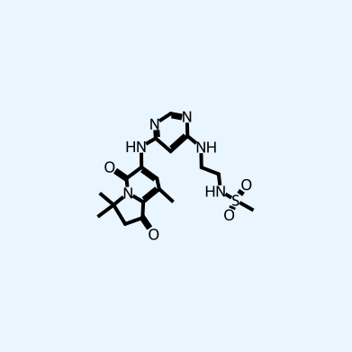 Cc1cc(Nc2cc(NCCNS(C)(=O)=O)ncn2)c(=O)n2c1C(=O)CC2(C)C